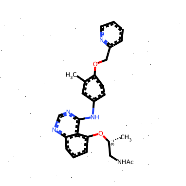 CC(=O)NC[C@@H](C)Oc1cccc2ncnc(Nc3ccc(OCc4ccccn4)c(C)c3)c12